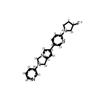 FC1CCN(c2ccc(-c3cc4n(c3)CN(c3cccnc3)C4)cn2)C1